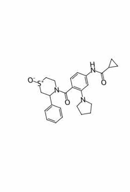 O=C(Nc1ccc(C(=O)N2CC[S+]([O-])CC2c2ccccc2)c(N2CCCC2)c1)C1CC1